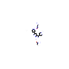 COc1cc(NC(=O)/C=C/CN(C)C)cc(-c2cnc3c(c2)c(-c2ccnc(C#N)c2)cn3COC(=O)C(N)CC(C)C)c1